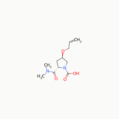 C=CCO[C@@H]1C[C@@H](C(=O)N(C)C)N(C(=O)O)C1